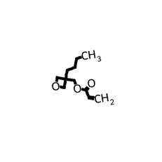 C=CC(=O)OCC1(CCCC)COC1